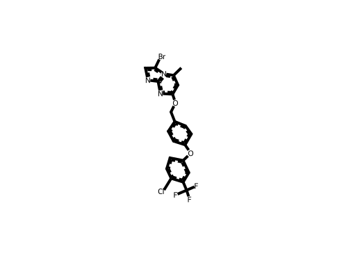 Cc1cc(OCc2ccc(Oc3ccc(Cl)c(C(F)(F)F)c3)cc2)nc2ncc(Br)n12